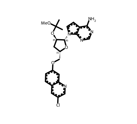 COC(C)(C)O[C@@H]1C[C@@H](COc2ccc3cc(Cl)cnc3c2)O[C@H]1n1ccc2c(N)ncnc21